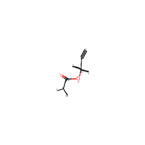 C#CC(C)(C)OC(=O)C(C)C